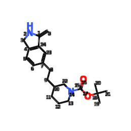 C=C1NCc2ccc(CCC3CCCN(C(=O)OC(C)(C)C)C3)cc21